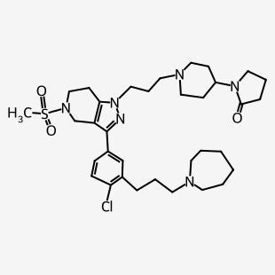 CS(=O)(=O)N1CCc2c(c(-c3ccc(Cl)c(CCCN4CCCCCC4)c3)nn2CCCN2CCC(N3CCCC3=O)CC2)C1